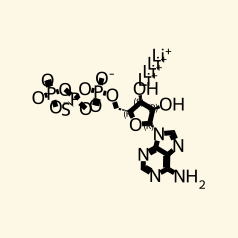 Nc1ncnc2c1ncn2[C@@H]1O[C@H](COP(=O)([O-])OP([O-])(=S)OP(=O)([O-])[O-])[C@@H](O)[C@H]1O.[Li+].[Li+].[Li+].[Li+]